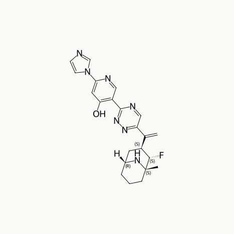 C=C(c1cnc(-c2cnc(-n3ccnc3)cc2O)nn1)[C@@H]1C[C@H]2CCC[C@](C)(N2)[C@H]1F